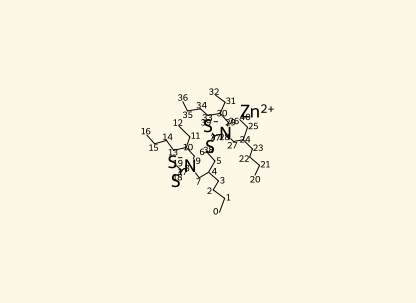 CCCCC(CC)CN(CC(CC)CCCC)C(=S)[S-].CCCCC(CC)CN(CC(CC)CCCC)C(=S)[S-].[Zn+2]